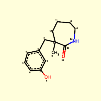 CC1(Cc2cccc(O)c2)CCCCNC1=O